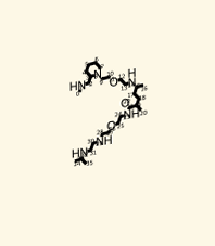 CNCC1CCCCN1CCOCCNC(C)CCC(C)C(=O)NCCOCCNCCNC(C)C